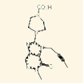 CC#CCn1c(N2CCN(C(=O)O)CC2)nc2cnn(C)c(=O)c21